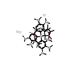 CC1=C(C)C(C)([Si](c2c([As](C)C)cc([As](C)C)c([As](C)C)c2[As](C)C)(c2c([As](C)C)cc([As](C)C)c([As](C)C)c2[As](C)C)c2c([As](C)C)cc([As](C)C)c([As](C)C)c2[As](C)C)[C]([Ti+3])=C1C.[Cl-].[Cl-].[Cl-]